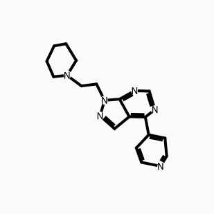 c1cc(-c2ncnc3c2cnn3CCN2CCCCC2)ccn1